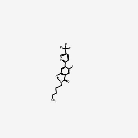 CCCCCn1cnc2cc(-c3ccc(C(F)(F)F)cn3)c(F)cc2c1=O